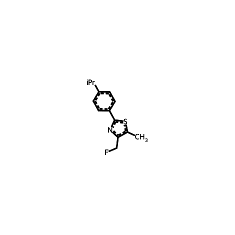 Cc1sc(-c2ccc(C(C)C)cc2)nc1CF